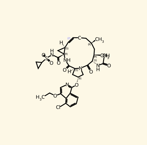 CCOc1cnc(O[C@@H]2C[C@H]3C(=O)N[C@]4(C(=O)NS(=O)(=O)C5CC5)C[C@H]4/C=C\CC[C@@H](C)C[C@@H](C)[C@H](NC(=O)O)C(=O)N3C2)c2cccc(Cl)c12